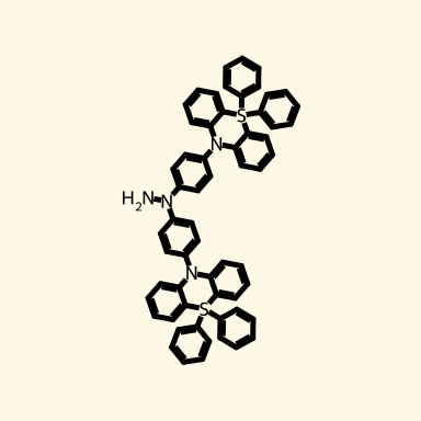 NN(c1ccc(N2c3ccccc3S(c3ccccc3)(c3ccccc3)c3ccccc32)cc1)c1ccc(N2c3ccccc3S(c3ccccc3)(c3ccccc3)c3ccccc32)cc1